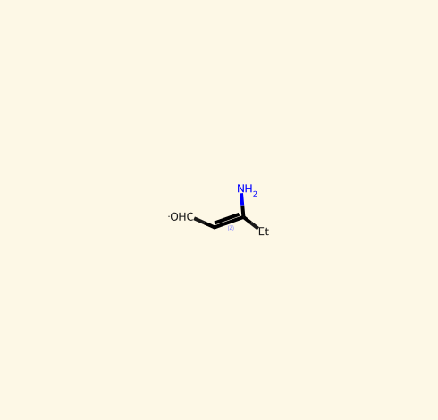 CC/C(N)=C/[C]=O